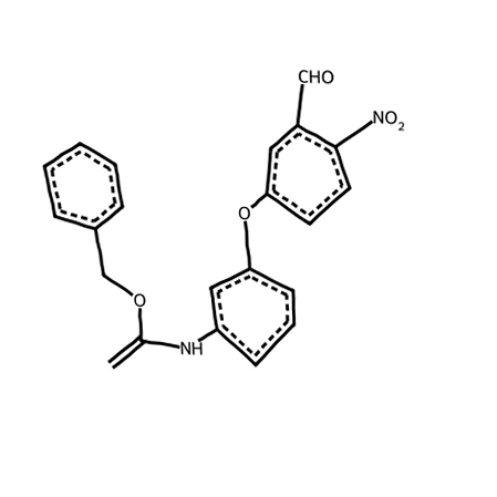 C=C(Nc1cccc(Oc2ccc([N+](=O)[O-])c(C=O)c2)c1)OCc1ccccc1